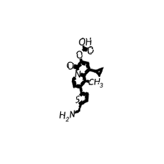 Cc1c(-c2ccc(CN)s2)ccn2c(=O)c(OC(=O)O)cc(C3CC3)c12